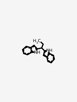 CC[C](c1cc2ccccc2[nH]1)c1cc2ccccc2[nH]1